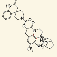 CN1C2CCC1CC(N1CCN(C(=O)[C@@H](Cc3cc(C(F)(F)F)c(N)c(C(F)(F)F)c3)OC(=O)N3CCC4(CC3)CC(=O)Nc3ccccc34)CC1)C2